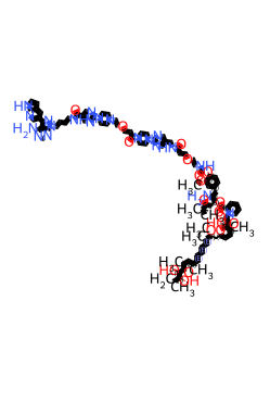 C=C(C)[C@@H](O)[C@@H](O)C(=O)[C@H](C)C[C@H](C)/C=C/C=C/C=C(\C)[C@H](C[C@@H]1CC[C@@H](C)[C@](O)(C(=O)C(=O)N2CCCC[C@H]2C(=O)O[C@@H](CC(=O)C(C)C)[C@H](N)C[C@@H]2CC[C@@H](OC(=O)NCCOCCC(=O)NCc3cnc(N4CCN(C(=O)CCOCCN5CCN(c6ncc(C(=O)NCCCCn7nc(-c8cnc9[nH]ccc9c8)c8c(N)ncnc87)cn6)CC5)CC4)nc3)[C@H](OC)C2)O1)OC